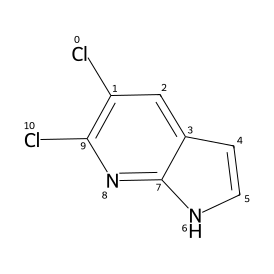 Clc1cc2cc[nH]c2nc1Cl